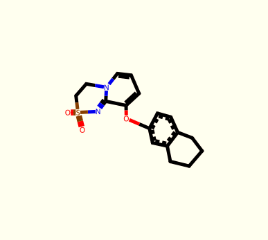 O=S1(=O)CCN2C=CC=C(Oc3ccc4c(c3)CCCC4)C2=N1